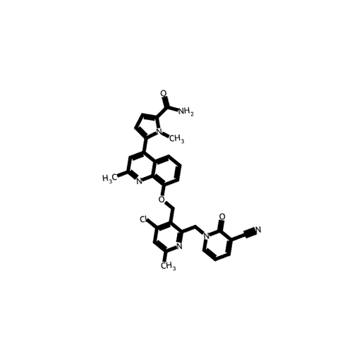 Cc1cc(Cl)c(COc2cccc3c(-c4ccc(C(N)=O)n4C)cc(C)nc23)c(Cn2cccc(C#N)c2=O)n1